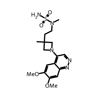 COc1cc2nncc(N3CC(C)(CCN(C)S(N)(=O)=O)C3)c2cc1OC